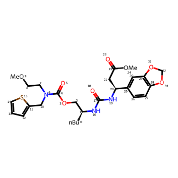 CCCC[C@@H](COC(=O)N(CCOC)Cc1cccs1)NC(=O)N[C@@H](CC(=O)OC)c1ccc2c(c1)OCO2